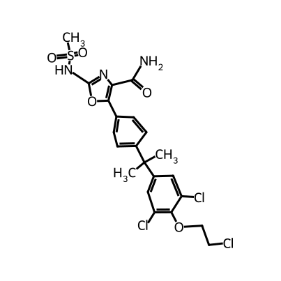 CC(C)(c1ccc(-c2oc(NS(C)(=O)=O)nc2C(N)=O)cc1)c1cc(Cl)c(OCCCl)c(Cl)c1